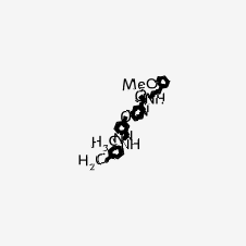 C=Cc1ccc(Nc2nc3cc(Oc4ccnc(C(=O)NCCc5ccccc5OC)c4)ccc3n2C)cc1